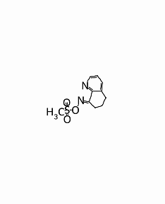 CS(=O)(=O)O/N=C1\CCCc2cccnc21